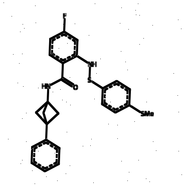 CSc1ccc(SNc2cc(F)ccc2C(=O)NC23CC(c4ccccc4)(C2)C3)cc1